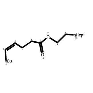 CCCC/C=C\CCC(=O)OCCCCCCCCC